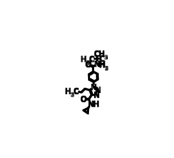 CCCc1c(C(=O)NC2CC2)nnn1-c1ccc(C(=O)NC(C)(C)C)cc1